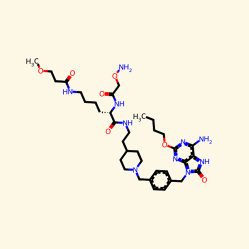 CCCCOc1nc(N)c2[nH]c(=O)n(Cc3ccc(CN4CCC(CCNC(=O)[C@H](CCCCNC(=O)CCOC)NC(=O)CON)CC4)cc3)c2n1